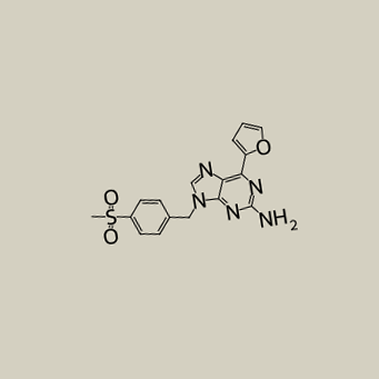 CS(=O)(=O)c1ccc(Cn2cnc3c(-c4ccco4)nc(N)nc32)cc1